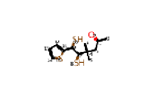 CC(=O)CC(C)(C)C(S)C(S)c1cccs1